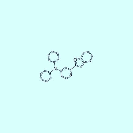 c1ccc(N(c2ccccc2)c2cccc(-c3cc4ccccc4o3)c2)cc1